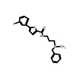 CN(CCCNC(=O)c1ccc(-c2cccc(F)c2)s1)Cc1ccccc1